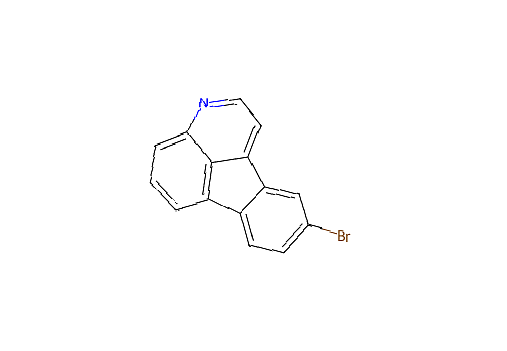 Brc1ccc2c(c1)-c1ccnc3cccc-2c13